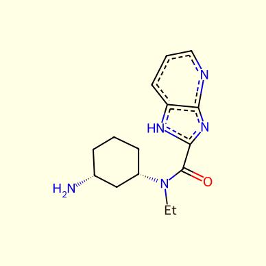 CCN(C(=O)c1nc2ncccc2[nH]1)[C@H]1CCC[C@@H](N)C1